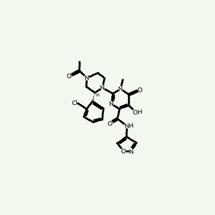 CC(=O)N1CCN(c2nc(C(=O)Nc3cnoc3)c(O)c(=O)n2C)[C@H](c2ccccc2Cl)C1